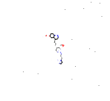 COc1ccc2nccc([C@H](F)CC[C@@H]3CCN(CCCc4cccn4C)C[C@@H]3CC(=O)O)c2c1